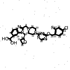 OC(O)c1ccc2nc(CN3CCN(c4ncnc(OCc5ccc(Cl)cc5F)n4)CC3)n(C[C@@H]3CCO3)c2c1